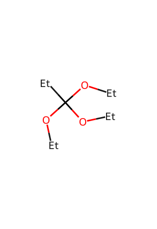 [CH2]CC(OCC)(OCC)OCC